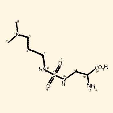 CN(C)CCCNS(=O)(=O)NCC(N)C(=O)O